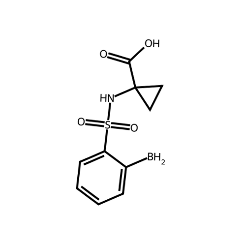 Bc1ccccc1S(=O)(=O)NC1(C(=O)O)CC1